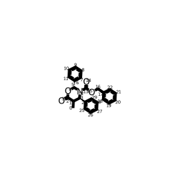 CC1C(=O)O[C@H](c2ccccc2)N(C(=O)OCc2ccccc2)[C@H]1c1ccccc1